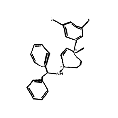 C[C@]1(c2cc(F)cc(F)c2)C=C[C@H](NC(c2ccccc2)c2ccccc2)CC1